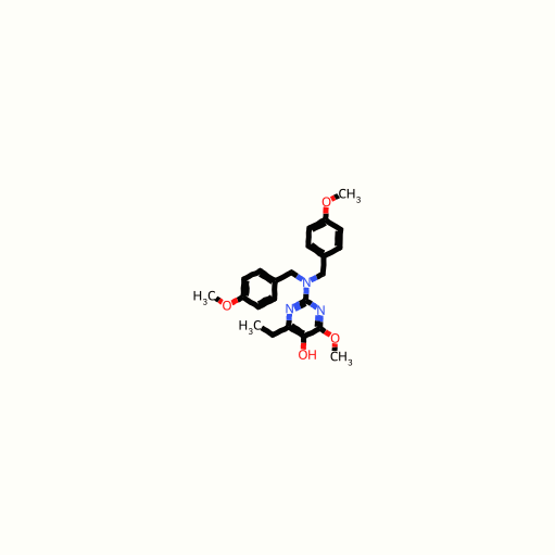 CCc1nc(N(Cc2ccc(OC)cc2)Cc2ccc(OC)cc2)nc(OC)c1O